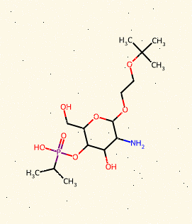 CC(C)P(=O)(O)OC1C(CO)OC(OCCOC(C)(C)C)C(N)C1O